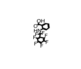 O=C(O)c1ccccc1NC(F)(F)c1c(F)c(F)c(F)c(F)c1F